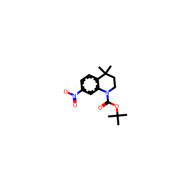 CC(C)(C)OC(=O)N1CCC(C)(C)c2ccc([N+](=O)[O-])cc21